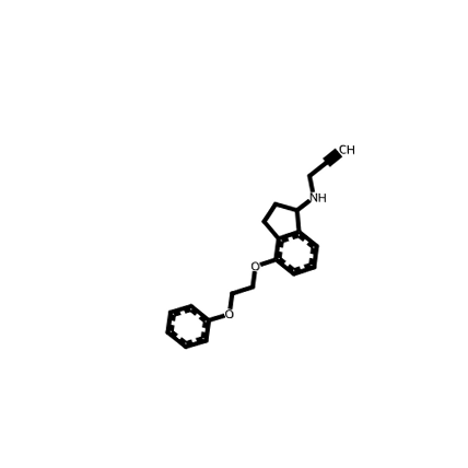 C#CCNC1CCc2c(OCCOc3ccccc3)cccc21